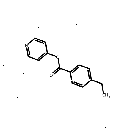 CCc1ccc(C(=O)Oc2c[c]ncc2)cc1